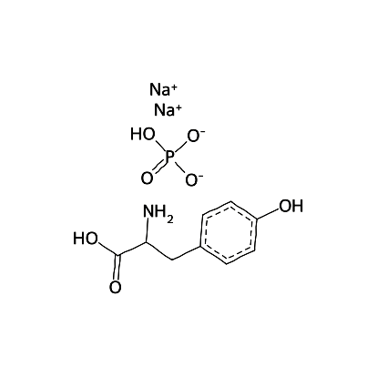 NC(Cc1ccc(O)cc1)C(=O)O.O=P([O-])([O-])O.[Na+].[Na+]